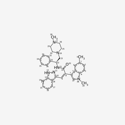 Cc1ccc2c(c1)c(C(=Cc1n[nH]c3ncccc13)C(=O)N[C@H](CN1CCN(C)CC1)c1ccccc1)cn2C